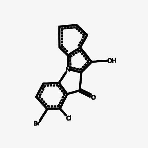 O=C1c2c(ccc(Br)c2Cl)-n2c1c(O)c1ccccc12